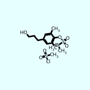 CS(=O)(=O)Cl.[CH3][BiH][S](=O)(=O)Oc1c(C)cc(CCCO)cc1C